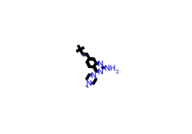 CN1CCN(c2nc(N)nc3cc(/C=C/C(C)(C)C)ccc23)CC1